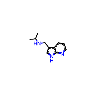 CC(C)NCc1c[nH]c2ncccc12